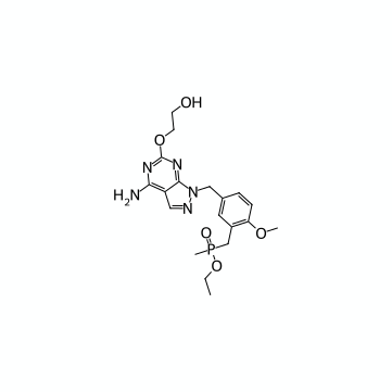 CCOP(C)(=O)Cc1cc(Cn2ncc3c(N)nc(OCCO)nc32)ccc1OC